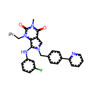 CC(C)Cn1c(=O)n(C)c(=O)c2cn(Cc3ccc(-c4ccccn4)cc3)c(Nc3cccc(F)c3)c21